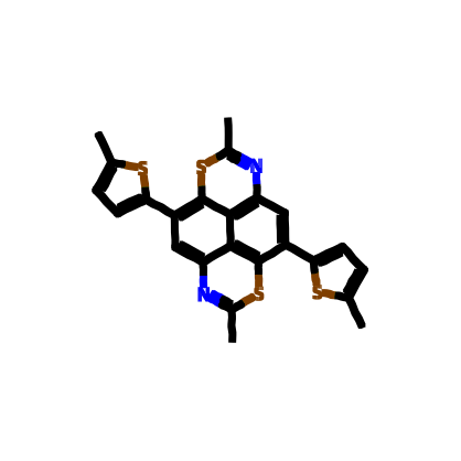 CC1=Nc2cc(-c3ccc(C)s3)c3c4c(cc(-c5ccc(C)s5)c(c24)S1)N=C(C)S3